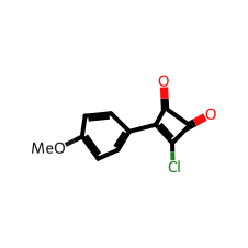 COc1ccc(-c2c(Cl)c(=O)c2=O)cc1